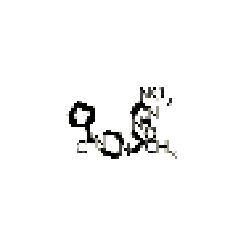 CC1(CN2CCN(C(=O)c3ccccc3)CC2)Cn2cc([N+](=O)[O-])nc2O1